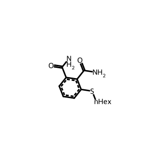 CCCCCCSc1cccc(C(N)=O)c1C(N)=O